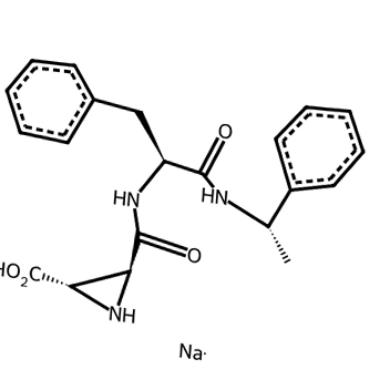 C[C@H](NC(=O)[C@H](Cc1ccccc1)NC(=O)[C@H]1N[C@@H]1C(=O)O)c1ccccc1.[Na]